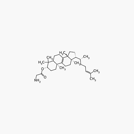 CC(C)=CCC[C@@H](C)[C@H]1CC[C@@]2(C)C3=C(CC[C@]12C)[C@@]1(C)CC[C@H](OC(=O)CN)C(C)(C)C1CC3